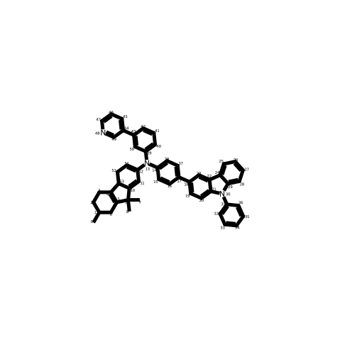 CC1CCC2=C(C1)C(C)(C)C1=CC(N(c3ccc(-c4ccc5c(c4)c4ccccc4n5-c4ccccc4)cc3)c3cccc(-c4cccnc4)c3)=CCC12